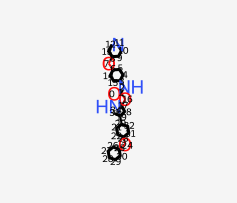 O=C(Nc1ccc(Oc2ccncc2)cc1)Oc1cc(-c2ccc(Oc3ccccc3)cc2)c[nH]1